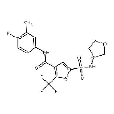 Cc1cc(NC(=O)c2cc(S(=O)(=O)N[C@H]3CCOC3)sc2C(F)(F)F)ccc1F